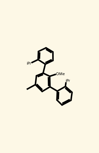 COc1c(-c2ccccc2C(C)C)cc(C)cc1-c1ccccc1C(C)C